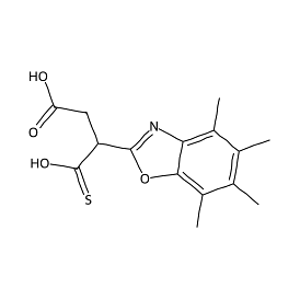 Cc1c(C)c(C)c2oc(C(CC(=O)O)C(O)=S)nc2c1C